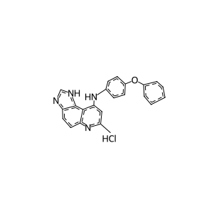 Cc1cc(Nc2ccc(Oc3ccccc3)cc2)c2c(ccc3nc[nH]c32)n1.Cl